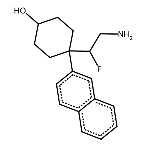 NCC(F)C1(c2ccc3ccccc3c2)CCC(O)CC1